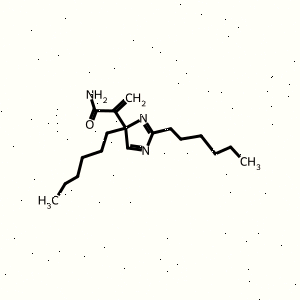 C=C(C(N)=O)C1(CCCCCC)C=NC(CCCCCC)=N1